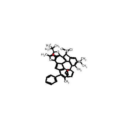 Cc1ccc(C2=Cc3c(ccc(C)c3-c3ccccc3)C2C2=C(c3ccc(C(C)(C)C)o3)[CH]([Zr]([Cl])[Cl])c3cc([SiH](C)C)c(C)c(-c4ccccc4)c32)o1